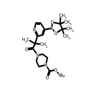 CC(C)(C)OC(=O)N1CCN(C(=O)C(C)(C)c2cc(B3OC(C)(C)C(C)(C)O3)ccn2)CC1